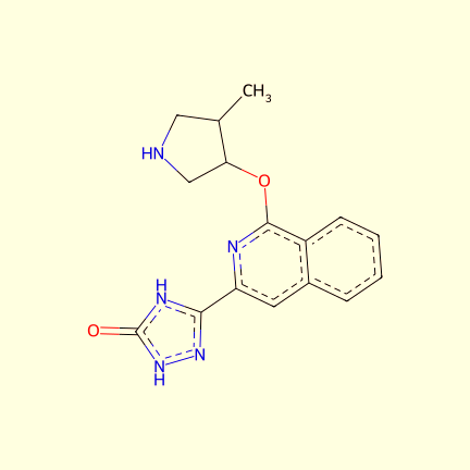 CC1CNCC1Oc1nc(-c2n[nH]c(=O)[nH]2)cc2ccccc12